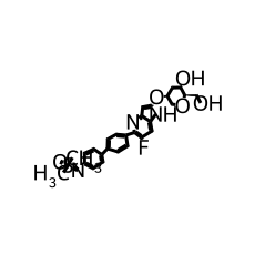 CS(C)(=O)=Nc1ccc(-c2ccc(-c3nc4cc(O[C@@H]5CO[C@H](CO)[C@@H](O)C5)[nH]c4cc3F)cc2)cc1